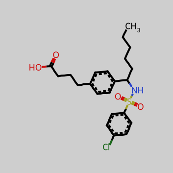 CCCCCC(NS(=O)(=O)c1ccc(Cl)cc1)c1ccc(CCCC(=O)O)cc1